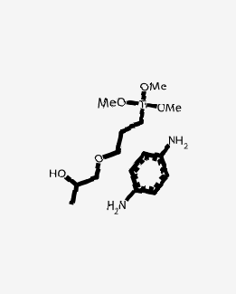 C[O][Ti]([CH2]CCOCC(C)O)([O]C)[O]C.Nc1ccc(N)cc1